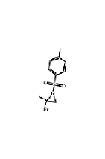 Cc1ccc(S(=O)(=O)N2CC2(C)C(C)C)cc1